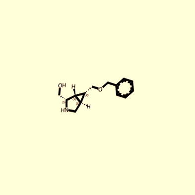 OC[C@H]1NC[C@@H]2[C@@H](COCc3ccccc3)[C@H]21